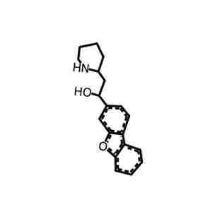 OC(CC1CCCCN1)c1ccc2c(c1)oc1ccccc12